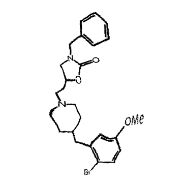 COc1ccc(Br)c(CC2CCN(CC3CN(Cc4ccccc4)C(=O)O3)CC2)c1